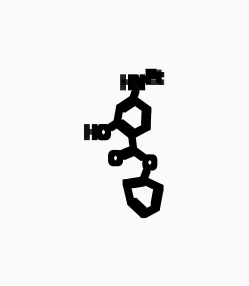 CCNc1ccc(C(=O)Oc2ccccc2)c(O)c1